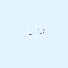 CC(C)C1=N[C@@H](c2ccccc2)CO1